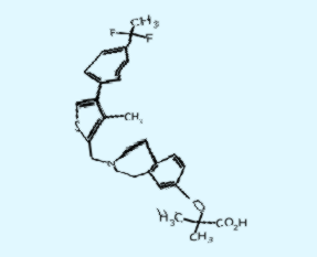 Cc1c(-c2ccc(C(C)(F)F)cc2)csc1CN1CCc2ccc(OC(C)(C)C(=O)O)cc2CC1